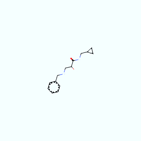 O=C(NCC1CC1)C(O)CNCc1ccccc1